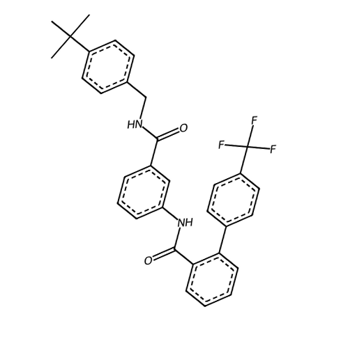 CC(C)(C)c1ccc(CNC(=O)c2cccc(NC(=O)c3ccccc3-c3ccc(C(F)(F)F)cc3)c2)cc1